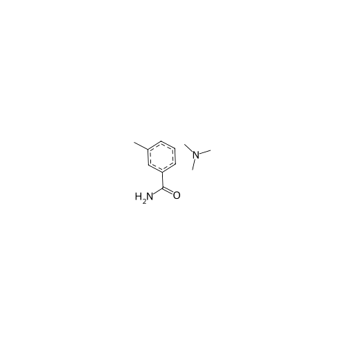 CN(C)C.Cc1cccc(C(N)=O)c1